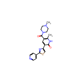 Cc1[nH]c(=O)c(-c2csc(-c3ccncc3)n2)cc1C(=O)N1CCN(C)CC1